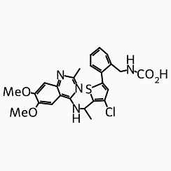 COc1cc2nc(C)nc(NC(C)c3sc(-c4ccccc4CNC(=O)O)cc3Cl)c2cc1OC